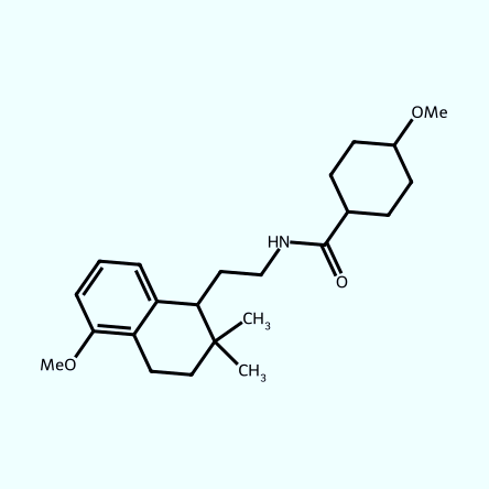 COc1cccc2c1CCC(C)(C)C2CCNC(=O)C1CCC(OC)CC1